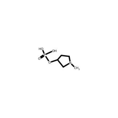 CN1CCC(OP(=O)(O)O)C1